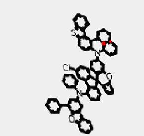 Clc1ccc2c(c1)-c1c(N(c3ccccc3)c3cc(-c4ccccc4)c4oc5ccccc5c4c3)cccc1C21c2ccccc2Oc2cc(N(c3ccccc3)c3ccc4sc5ccccc5c4c3-c3ccccc3)ccc21